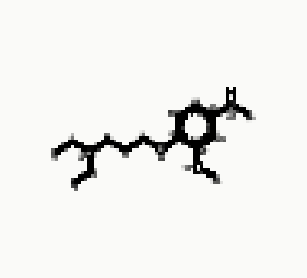 CCN(CC)CCCOc1ccc(NC)cc1OC